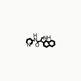 O=C(Nc1cccnc1)C1CNc2c1ccc1ccccc21